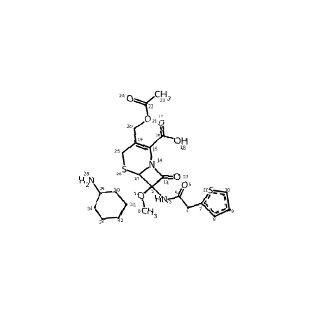 COC1(NC(=O)Cc2cccs2)C(=O)N2C(C(=O)O)=C(COC(C)=O)CSC21.NC1CCCCC1